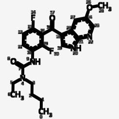 CCCCN(CC)C(=O)Nc1ccc(F)c(C(=O)c2c[nH]c3ncc(OC)cc23)c1F